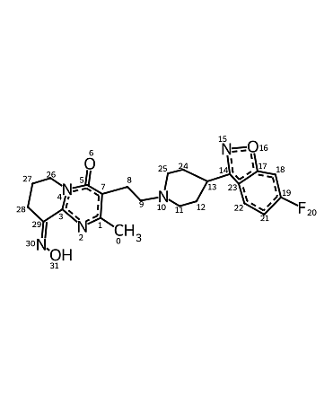 Cc1nc2n(c(=O)c1CCN1CCC(c3noc4cc(F)ccc34)CC1)CCC/C2=N/O